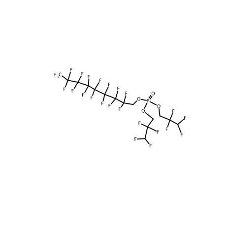 O=P(OCC(F)(F)C(F)F)(OCC(F)(F)C(F)F)OCC(F)(F)C(F)(F)C(F)(F)C(F)(F)C(F)(F)C(F)(F)C(F)(F)C(F)(F)F